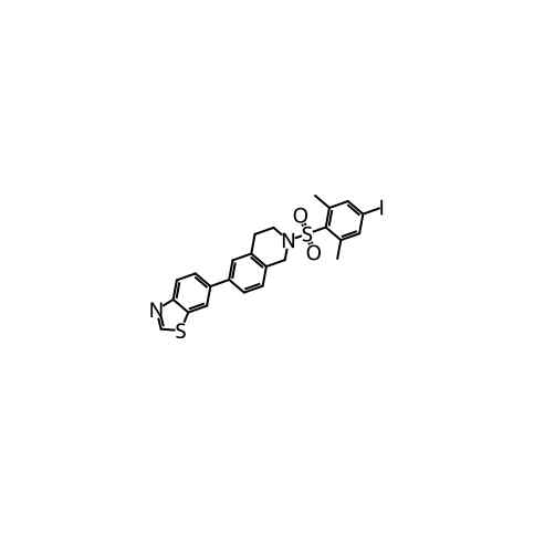 Cc1cc(I)cc(C)c1S(=O)(=O)N1CCc2cc(-c3ccc4ncsc4c3)ccc2C1